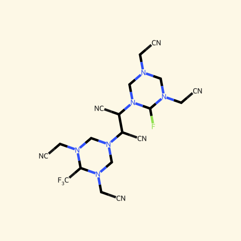 N#CCN1CN(CC#N)C(F)N(C(C#N)C(C#N)N2CN(CC#N)C(C(F)(F)F)N(CC#N)C2)C1